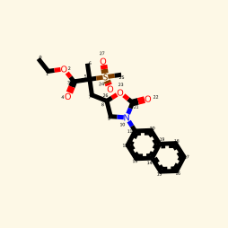 CCOC(=O)C(C)(CC1CN(c2ccc3ccccc3c2)C(=O)O1)S(C)(=O)=O